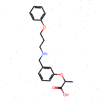 CC(Oc1cccc(CNCCCOc2ccccc2)c1)C(=O)O